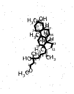 COCC[C@](C)(O)CC[C@@H](C)[C@H]1CC[C@H]2[C@@H]3CC[C@H]4C[C@@](C)(O)CC[C@]4(C)[C@H]3CC[C@]12C